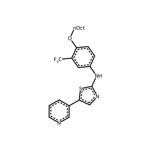 CCCCCCCCOc1ccc(Nc2ncc(-c3cccnc3)s2)cc1C(F)(F)F